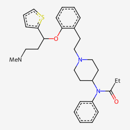 CCC(=O)N(c1ccccc1)C1CCN(CCc2ccccc2OC(CCNC)c2cccs2)CC1